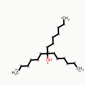 CCCCCCCC(O)(CCCCCC)CCCCCC